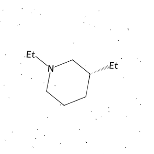 CC[C@@H]1CCCN(CC)C1